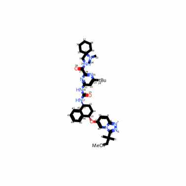 COCC(C)(C)c1nnc2ccc(O[C@@H]3CC[C@H](NC(=O)Nc4cc(C(C)(C)C)nc(C(=O)NCC5(N(C)C)CCCCC5)n4)c4ccccc43)cn12